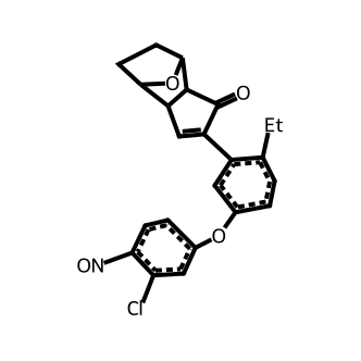 CCc1ccc(Oc2ccc(N=O)c(Cl)c2)cc1C1=CC2C3CCC(O3)C2C1=O